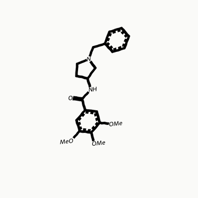 COc1cc(C(=O)NC2CCN(Cc3ccccc3)C2)cc(OC)c1OC